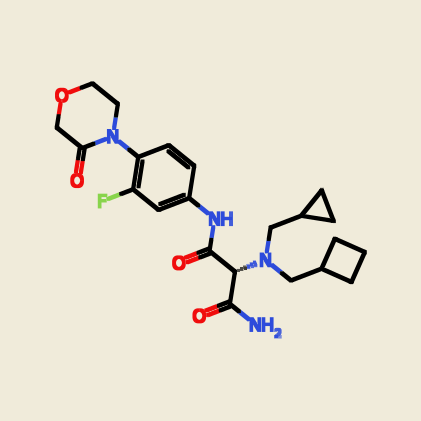 NC(=O)[C@H](C(=O)Nc1ccc(N2CCOCC2=O)c(F)c1)N(CC1CCC1)CC1CC1